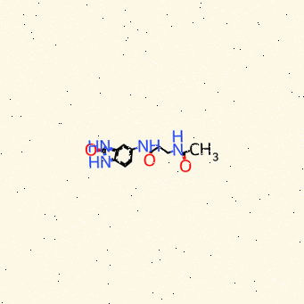 CC(=O)NCCC(=O)Nc1ccc2[nH]c(=O)[nH]c2c1